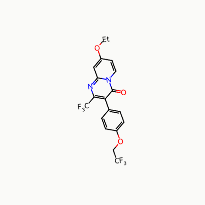 CCOc1ccn2c(=O)c(-c3ccc(OCC(F)(F)F)cc3)c(C(F)(F)F)nc2c1